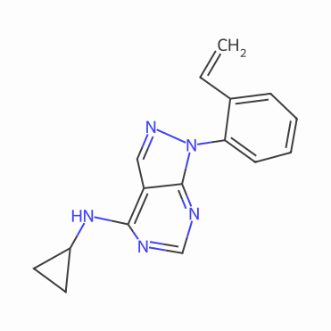 C=Cc1ccccc1-n1ncc2c(NC3CC3)ncnc21